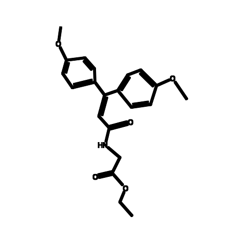 CCOC(=O)CNC(=O)C=C(c1ccc(OC)cc1)c1ccc(OC)cc1